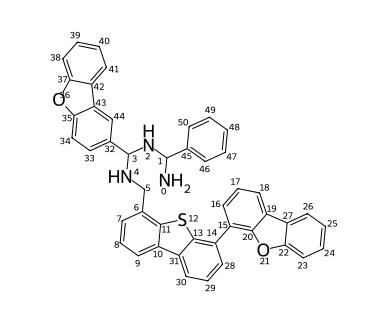 NC(NC(NCc1cccc2c1sc1c(-c3cccc4c3oc3ccccc34)cccc12)c1ccc2oc3ccccc3c2c1)c1ccccc1